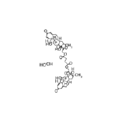 C[C@@H]1C[C@H]2[C@@H]3CCC4=CC(=O)C=C[C@]4(C)[C@@]3(F)[C@@H](O)C[C@]2(C)[C@@]1(O)C(=O)COC(=O)CCC(=O)OCC(=O)[C@@]1(O)[C@H](C)C[C@H]2[C@@H]3CCC4=CC(=O)C=C[C@]4(C)[C@@]3(F)[C@@H](O)C[C@@]21C.Cl.Cl